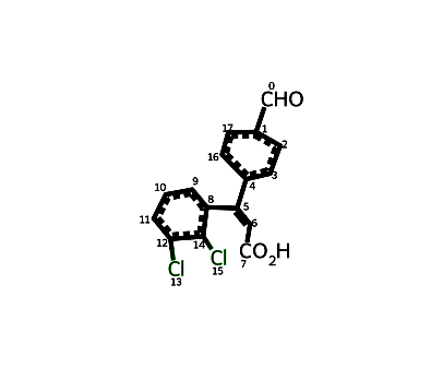 O=Cc1ccc(/C(=C/C(=O)O)c2cccc(Cl)c2Cl)cc1